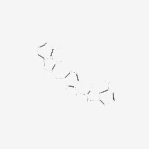 Sc1cccc2[nH]c(Cc3cccc(Cc4nc5c(S)cccc5[nH]4)c3)nc12